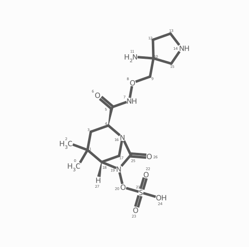 CC1(C)C[C@@H](C(=O)NOCC2(N)CCNC2)N2C[C@@H]1N(OS(=O)(=O)O)C2=O